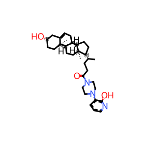 CC(CCC(=O)N1CCN(c2cccnc2O)CC1)[C@H]1CC[C@H]2[C@@H]3CC=C4C[C@@H](O)CC[C@]4(C)[C@H]3CC[C@]12C